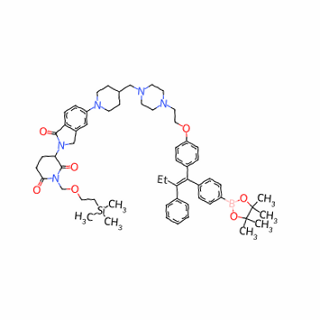 CC/C(=C(\c1ccc(OCCN2CCN(CC3CCN(c4ccc5c(c4)CN(C4CCC(=O)N(COCC[Si](C)(C)C)C4=O)C5=O)CC3)CC2)cc1)c1ccc(B2OC(C)(C)C(C)(C)O2)cc1)c1ccccc1